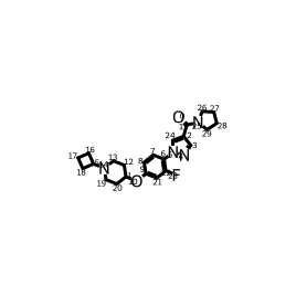 O=C(c1cnn(-c2ccc(OC3CCN(C4CCC4)CC3)cc2F)c1)N1CCCC1